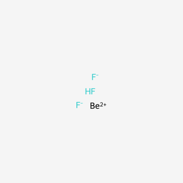 F.[Be+2].[F-].[F-]